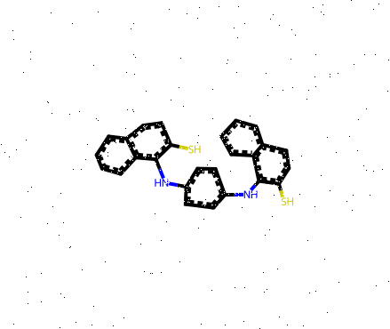 Sc1ccc2ccccc2c1Nc1ccc(Nc2c(S)ccc3ccccc23)cc1